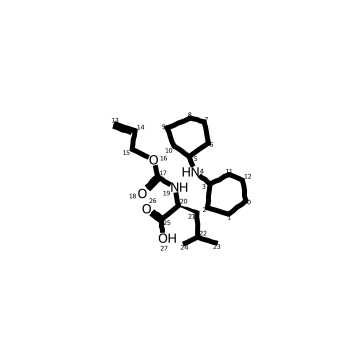 C1CCC(NC2CCCCC2)CC1.C=CCOC(=O)N[C@@H](CC(C)C)C(=O)O